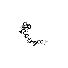 C[C@@H]1C[C@H](OCc2c(-c3c(Cl)cccc3Cl)noc2C2CC2)C[C@H](C)N1c1nc(-c2cc(C(=O)O)cs2)cs1